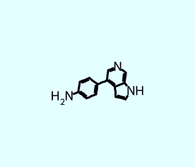 Nc1ccc(-c2cncc3[nH]ccc23)cc1